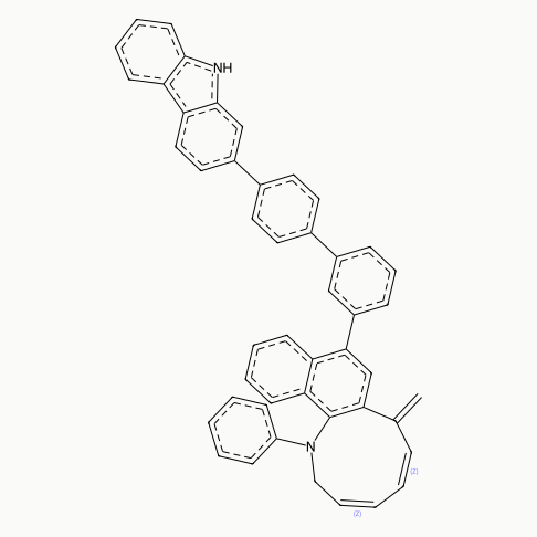 C=C1/C=C\C=C/CN(c2ccccc2)c2c1cc(-c1cccc(-c3ccc(-c4ccc5c(c4)[nH]c4ccccc45)cc3)c1)c1ccccc21